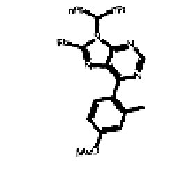 CCCC(CCC)n1c(CC)nc2c(-c3ccc(OC)cc3C)ncnc21